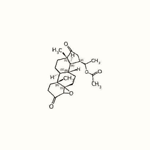 CC(=O)OC(C)[C@@H]1CC(=O)[C@@]2(C)CC[C@H]3[C@@H](CC[C@@]45OC4C(=O)CC[C@]35C)[C@H]12